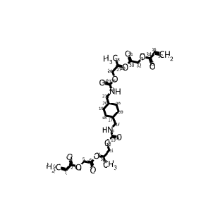 C=CC(=O)OCC(=O)OC(C)COC(=O)NCC1CCC(CNC(=O)OCC(C)OC(=O)COC(=O)C=C)CC1